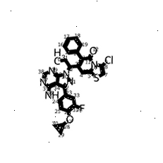 CCC(c1cc2scc(Cl)n2c(=O)c1-c1ccccc1)n1nc(-c2ccc(OC3CC3)c(F)c2)c2c(N)ncnc21